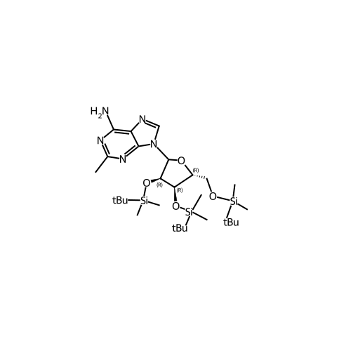 Cc1nc(N)c2ncn(C3O[C@H](CO[Si](C)(C)C(C)(C)C)[C@@H](O[Si](C)(C)C(C)(C)C)[C@H]3O[Si](C)(C)C(C)(C)C)c2n1